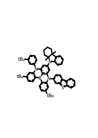 CC(C)(C)c1cccc(N2c3cc(C(C)(C)C)ccc3B3c4ccc(C(C)(C)C)cc4N(c4ccc5c(c4)sc4ccccc45)c4cc(N5c6ccccc6C6(C)CCCCC56C)cc2c43)c1